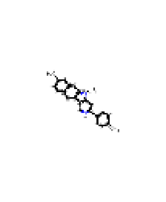 Cc1ccc(-c2cc3c(cn2)c2cc4ccc(C)cc4cc2n3C)cc1